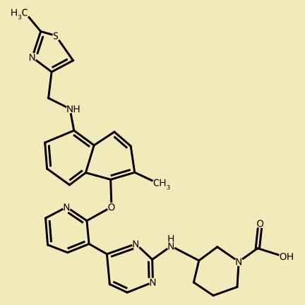 Cc1nc(CNc2cccc3c(Oc4ncccc4-c4ccnc(NC5CCCN(C(=O)O)C5)n4)c(C)ccc23)cs1